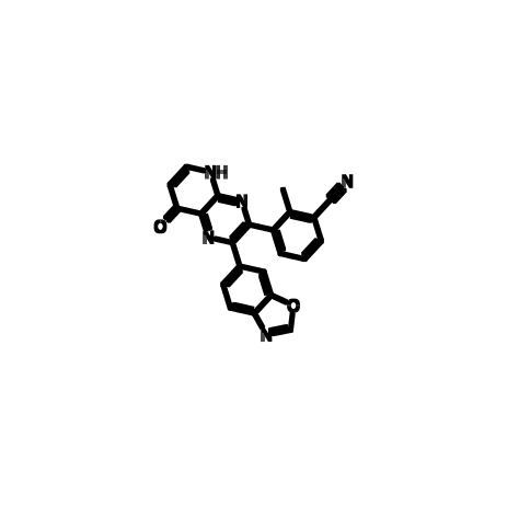 Cc1c(C#N)cccc1-c1nc2[nH]ccc(=O)c2nc1-c1ccc2ncoc2c1